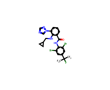 O=C(Nc1c(Br)cc(C(F)(C(F)(F)F)C(F)(F)F)cc1Br)c1cccc(-n2cncn2)c1NCC1CC1